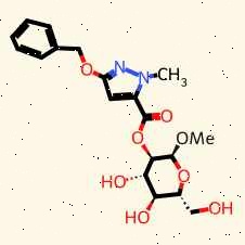 CO[C@H]1O[C@H](CO)[C@@H](O)[C@H](O)[C@H]1OC(=O)c1cc(OCc2ccccc2)nn1C